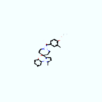 Cc1cc(C(=O)N2CCC3(CC2)Oc2ccccc2-n2c(C)ccc23)ccc1OC(C)C